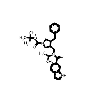 CC(C)N(CC1CN(C(=O)OC(C)(C)C)CC1Cc1ccccc1)C(=O)c1ccc2cc[nH]c2c1